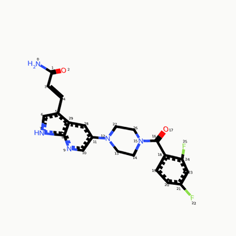 NC(=O)/C=C/c1c[nH]c2ncc(N3CCN(C(=O)c4ccc(F)cc4F)CC3)cc12